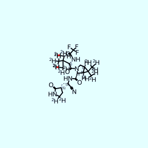 [2H]C1([2H])C[C@@H](C[C@@H](C#N)NC(=O)[C@@H]2[C@@H]3[C@H](CN2C(=O)[C@@H](NC(=O)C(F)(F)F)C(C([2H])([2H])[2H])(C([2H])([2H])[2H])C([2H])([2H])[2H])C3(C([2H])([2H])[2H])C([2H])([2H])[2H])C(=O)N1